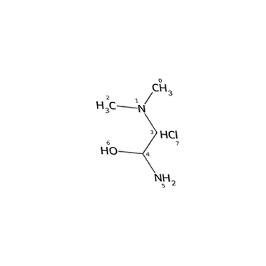 CN(C)CC(N)O.Cl